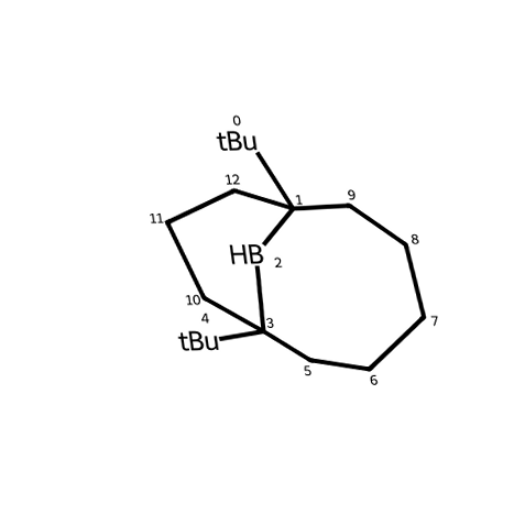 CC(C)(C)C12BC(C(C)(C)C)(CCCCC1)CCC2